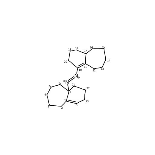 C1=C2CCCCCC2(N=NC2=C3CCCCCC3CCC2)CCC1